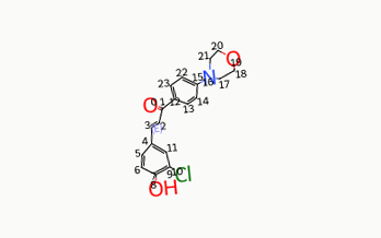 O=C(/C=C/c1ccc(O)c(Cl)c1)c1ccc(N2CCOCC2)cc1